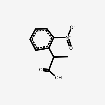 CC(C(=O)O)c1ccccc1[N+](=O)[O-]